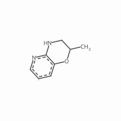 CC1CNc2nc[c]cc2O1